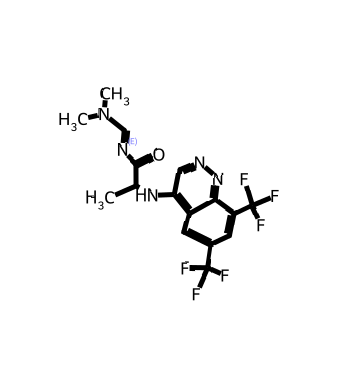 CC(Nc1cnnc2c(C(F)(F)F)cc(C(F)(F)F)cc12)C(=O)/N=C/N(C)C